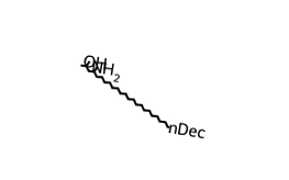 CCCCCCCCCCCCCCCCCCCCCCCCCCCCCC(N)CC(C)O